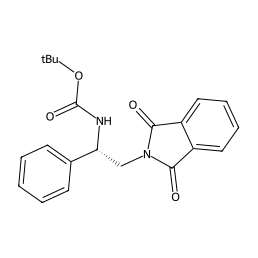 CC(C)(C)OC(=O)N[C@H](CN1C(=O)c2ccccc2C1=O)c1ccccc1